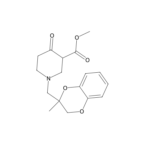 COC(=O)C1CN(CC2(C)COc3ccccc3O2)CCC1=O